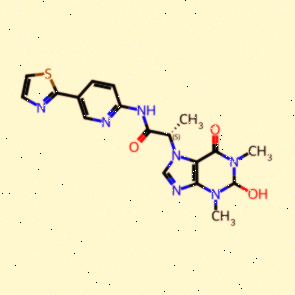 C[C@@H](C(=O)Nc1ccc(-c2nccs2)cn1)n1cnc2c1C(=O)N(C)C(O)N2C